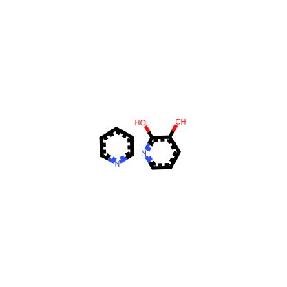 Oc1cccnc1O.c1ccncc1